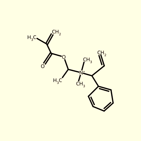 C=CC(c1ccccc1)[N+](C)(C)C(C)OC(=O)C(=C)C